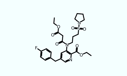 CCOC(=O)CC(=O)N(CCCS(=O)(=O)N1CCCC1)c1cc(Cc2ccc(F)cc2)cnc1C(=O)OCC